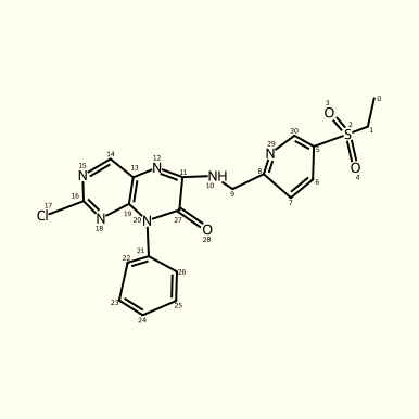 CCS(=O)(=O)c1ccc(CNc2nc3cnc(Cl)nc3n(-c3ccccc3)c2=O)nc1